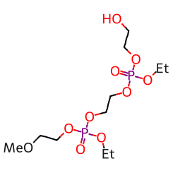 CCOP(=O)(OCCO)OCCOP(=O)(OCC)OCCOC